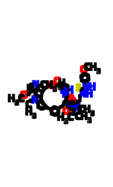 CCn1c(-c2cnccc2COC)c2c3cc(ccc31)-c1cccc(c1)C[C@H](NC(=O)[C@H](C(C)C)N(C)C(=O)CCNC(=S)Nc1ccc(OC)cc1)C(=O)N1CCC[C@H](N1)C(=O)OCC(C)(C)C2